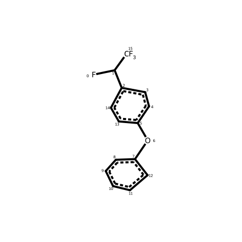 FC(c1ccc(Oc2ccccc2)cc1)C(F)(F)F